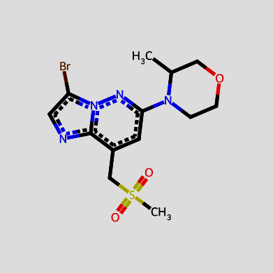 CC1COCCN1c1cc(CS(C)(=O)=O)c2ncc(Br)n2n1